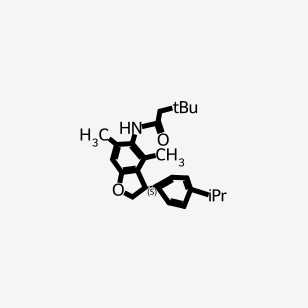 Cc1cc2c(c(C)c1NC(=O)CC(C)(C)C)[C@H](c1ccc(C(C)C)cc1)CO2